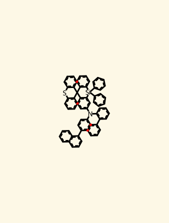 c1ccc(-c2ccccc2N(c2ccc(-c3cccc4ccccc34)cc2)c2ccc3c(c2)[Si](c2ccccc2)(c2ccccc2)c2ccccc2C32c3ccccc3Sc3ccccc32)cc1